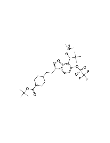 C[SiH](C)OC(c1c(OS(=O)(=O)C(F)(F)F)ccc2c(CCC3CCN(C(=O)OC(C)(C)C)CC3)noc12)C(C)(C)C